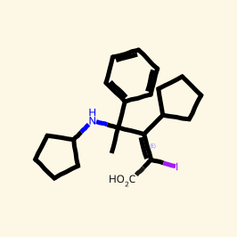 CC(NC1CCCC1)(/C(=C(/I)C(=O)O)C1CCCC1)c1ccccc1